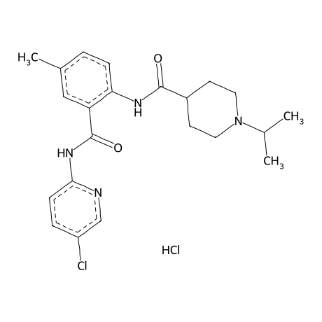 Cc1ccc(NC(=O)C2CCN(C(C)C)CC2)c(C(=O)Nc2ccc(Cl)cn2)c1.Cl